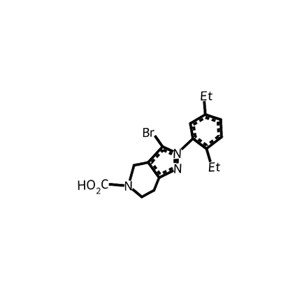 CCc1ccc(CC)c(-n2nc3c(c2Br)CN(C(=O)O)CC3)c1